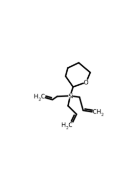 C=CC[Si](CC=C)(CC=C)C1CCCCO1